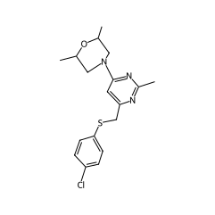 Cc1nc(CSc2ccc(Cl)cc2)cc(N2CC(C)OC(C)C2)n1